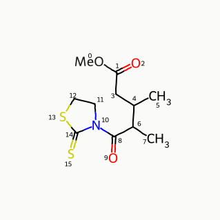 COC(=O)CC(C)C(C)C(=O)N1CCSC1=S